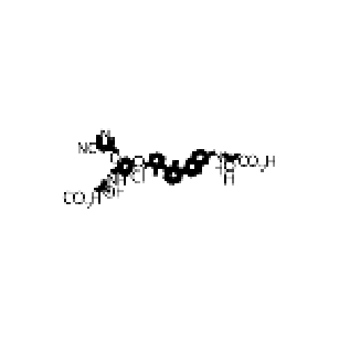 Cc1c(COc2cc(OCc3cncc(C#N)c3)c(CNC[C@@H](O)CC(=O)O)cc2Cl)cccc1-c1cccc(-c2ccc3cc(CNC[C@@H](O)CC(=O)O)ccc3c2)c1C